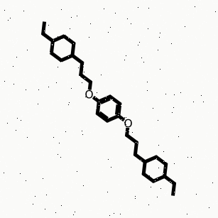 CCC1CCC(CCCOc2ccc(OCCCC3CCC(CC)CC3)cc2)CC1